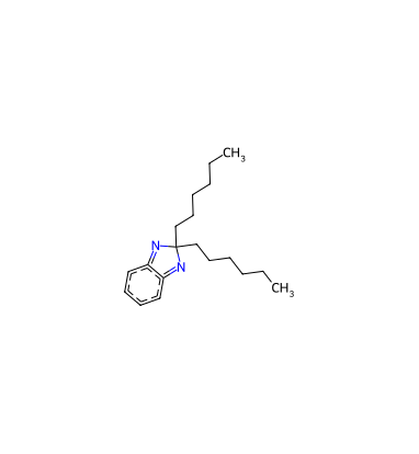 CCCCCCC1(CCCCCC)N=c2ccccc2=N1